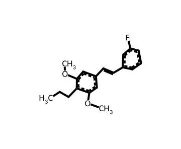 CCCc1c(OC)cc(C=Cc2cccc(F)c2)cc1OC